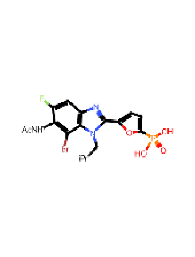 CC(=O)Nc1c(F)cc2nc(-c3ccc(P(=O)(O)O)o3)n(CC(C)C)c2c1Br